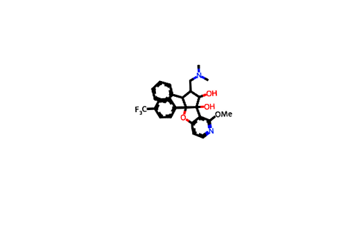 COc1nccc2c1C1(O)C(O)C(CN(C)C)C(c3ccccc3)C1(c1ccc(C(F)(F)F)cc1)O2